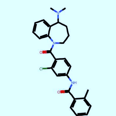 Cc1ccccc1C(=O)Nc1ccc(C(=O)N2CCCC(N(C)C)c3ccccc32)c(Cl)c1